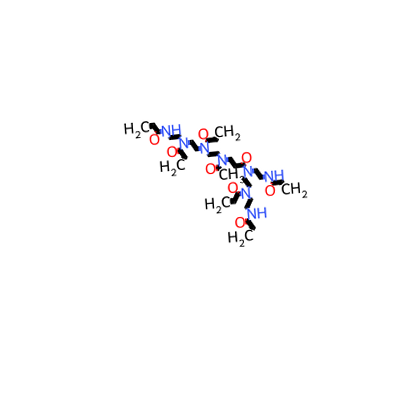 C=CC(=O)NCCN(CCN(CCN(CCC(=O)N(CCNC(=O)C=C)CCN(CCNC(=O)C=C)C(=O)C=C)C(C)=O)C(=O)C=C)C(=O)C=C